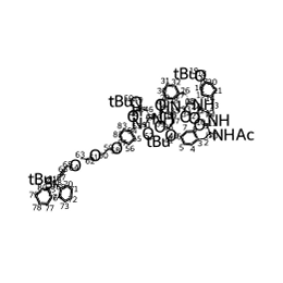 CC(=O)N[C@@H](Cc1ccccc1)C(=O)N[C@@H](Cc1ccc(OC(C)(C)C)cc1)C(=O)N[C@@H](Cc1ccccc1)C(=O)N[C@@H](CC(=O)OC(C)(C)C)C(=O)N[C@@H](CC(=O)OC(C)(C)C)C(=O)Nc1ccc(OCCOCCOCC#C[Si](c2ccccc2)(c2ccccc2)C(C)(C)C)cc1